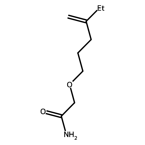 C=C(CC)CCCOCC(N)=O